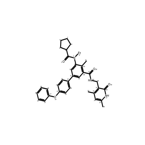 CCN(C(=O)C1CCCC1)c1cc(-c2ccc(Oc3ccccc3)cc2)cc(C(=O)NCc2c(C)cc(C)[nH]c2=O)c1C